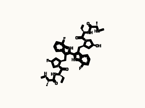 CC[C@H](NC(=O)[C@H](C)NC)C(=O)N1C[C@@H](O)C[C@H]1Cc1c(-c2[nH]c3c(F)cccc3c2C[C@@H]2C[C@H](F)CN2C(=O)[C@H](CC)NC(=O)[C@H](C)NC)[nH]c2c(F)cccc12